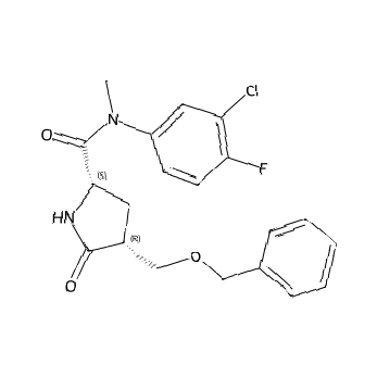 CN(C(=O)[C@@H]1C[C@H](COCc2ccccc2)C(=O)N1)c1ccc(F)c(Cl)c1